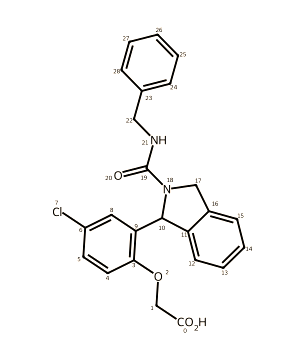 O=C(O)COc1ccc(Cl)cc1C1c2ccccc2CN1C(=O)NCc1ccccc1